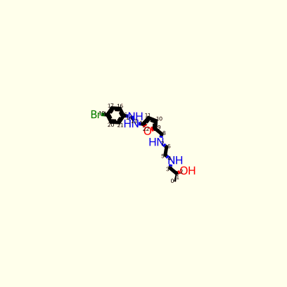 C[C@H](O)CNCCNCc1ccc(NNc2ccc(Br)cc2)o1